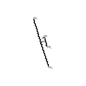 CCCCCCCC(=O)O.CCCCCCCCCCCCCCCCCCC(N)CCCCCCCCCCCCCCCCCC